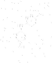 Oc1ccc(Nc2cccnn2)cc1